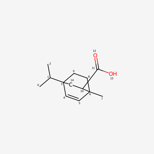 CC(C)C12C=CC(C)(CC1)C(C(=O)O)C2